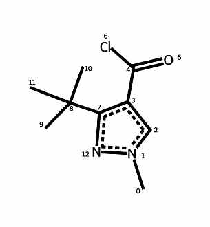 Cn1cc(C(=O)Cl)c(C(C)(C)C)n1